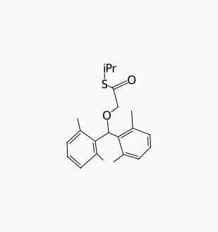 Cc1cccc(C)c1C(OCC(=O)SC(C)C)c1c(C)cccc1C